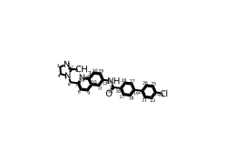 CC1=NCCN1Cc1ccc2cc(NC(=O)c3ccc(-c4ccc(Cl)cc4)cc3)ccc2n1